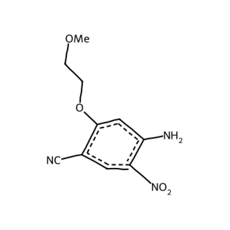 COCCOc1cc(N)c([N+](=O)[O-])cc1C#N